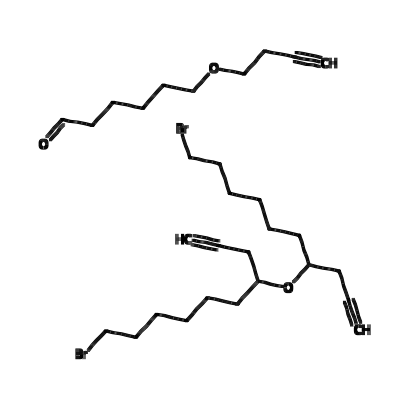 C#CCC(CCCCCCBr)OC(CC#C)CCCCCCBr.C#CCCOCCCCCC=O